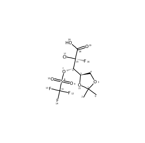 CC1(C)OC[C@H]([C@H](OS(=O)(=O)C(F)(F)F)[C@@](F)(Cl)C(=O)O)O1